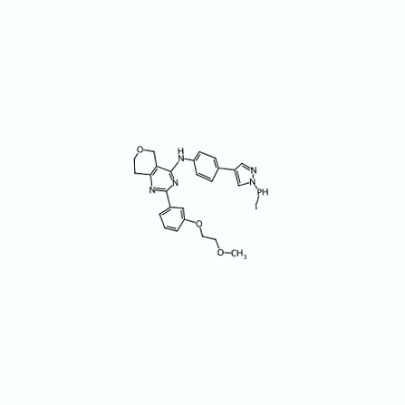 COCCOc1cccc(-c2nc3c(c(Nc4ccc(-c5cnn(PI)c5)cc4)n2)COCC3)c1